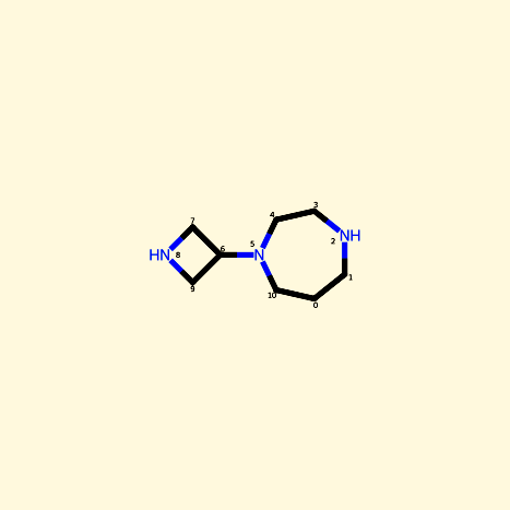 C1CNCCN(C2CNC2)C1